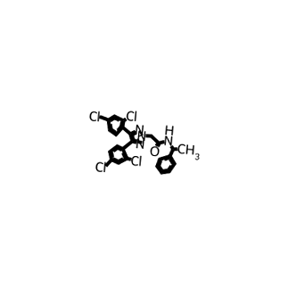 CC(NC(=O)Cn1nc(-c2ccc(Cl)cc2Cl)c(-c2ccc(Cl)cc2Cl)n1)c1ccccc1